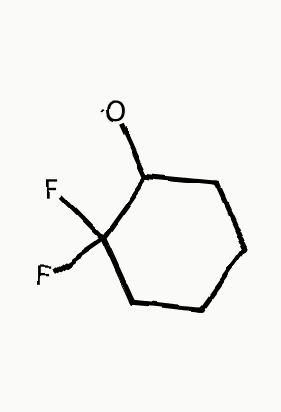 [O]C1CCCCC1(F)F